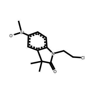 C[S+]([O-])c1ccc2c(c1)C(C)(C)C(=O)N2CCCl